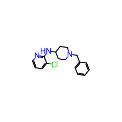 Clc1cccnc1NC1CCN(Cc2ccccc2)CC1